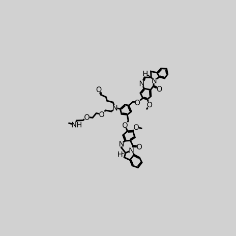 CNCCOCCOCCN(CCCC=O)c1cc(COc2cc3c(cc2OC)C(=O)N2c4ccccc4C[C@H]2C=N3)cc(COc2cc3c(cc2OC)C(=O)N2c4ccccc4C[C@H]2C=N3)c1